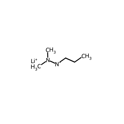 CCC[N-]N(C)C.[Li+]